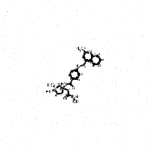 Cc1cc(COc2ccc(C(=O)NC3(CC(=O)NO)CCS(O)(O)C3)cc2)c2ccccc2n1